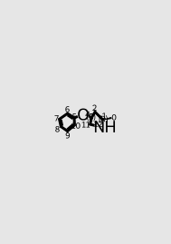 C[C@@H]1C[C@H](Oc2ccccc2)CN1